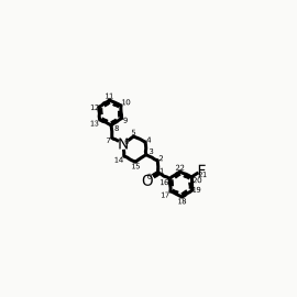 O=C(CC1CCN(Cc2ccccc2)CC1)c1cccc(F)c1